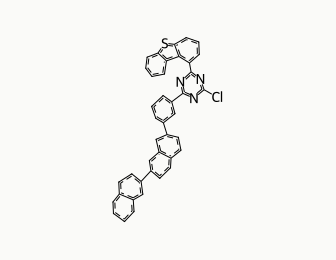 Clc1nc(-c2cccc(-c3ccc4ccc(-c5ccc6ccccc6c5)cc4c3)c2)nc(-c2cccc3sc4ccccc4c23)n1